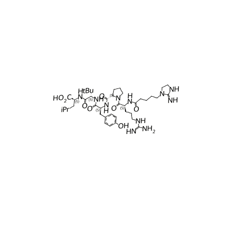 CC(C)C[C@H](NC(=O)[C@@H](NC(=O)[C@H](Cc1ccc(O)cc1)NC(=O)[C@@H]1CCCN1C(=O)[C@H](CCCNC(=N)N)NC(=O)CCCCN1CCNC1=N)C(C)(C)C)C(=O)O